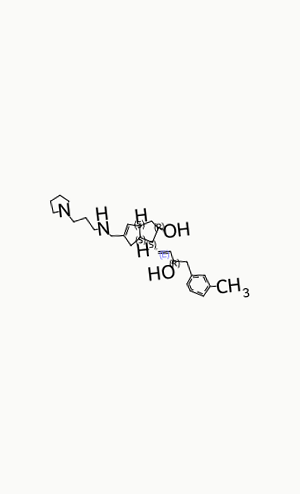 Cc1cccc(C[C@@H](O)/C=C/[C@@H]2[C@H]3CC(CNCCCN4CCCC4)=C[C@H]3C[C@H]2O)c1